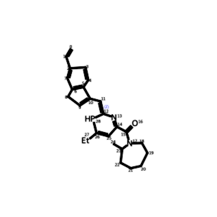 C=Cc1ccc2c(c1)CC=C2/C=C1/N=C(C(=O)N2CCCCCC2C)C=C(CC)P1